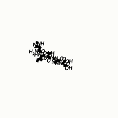 CCC(C)[C@H](NC(=O)C(N)Cc1cnc[nH]1)C(=O)N(C)[C@H](C(=O)Nc1nc(C(=O)N[C@@H](CC(=O)O)C(=O)O)cs1)C(C)C